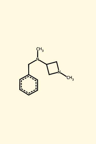 CN1CC(N(C)Cc2ccccc2)C1